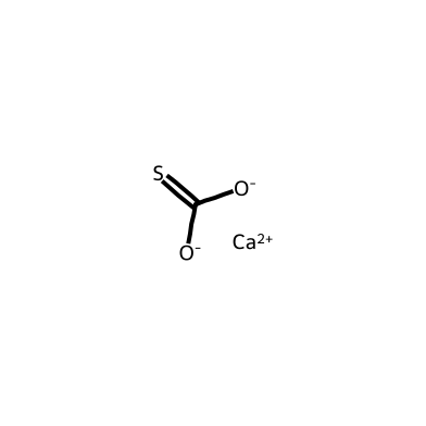 [Ca+2].[O-]C([O-])=S